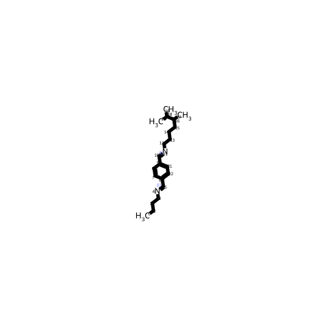 CCCC/N=C/c1ccc(/C=N/CCCCC(C)C(C)C)cc1